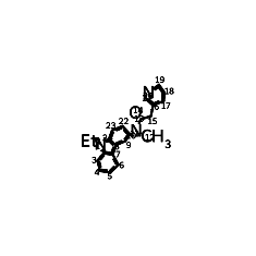 CCn1c2ccccc2c2cc(N(C)C(=O)Cc3cccnc3)ccc21